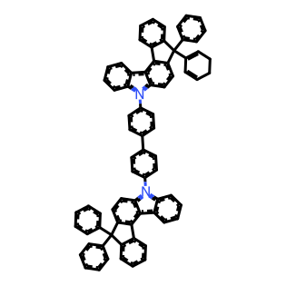 C1=CC(C2(c3ccccc3)c3ccccc3-c3c2ccc2c3c3ccccc3n2-c2ccc(-c3ccc(-n4c5ccccc5c5c6c(ccc54)C(c4ccccc4)(c4ccccc4)c4ccccc4-6)cc3)cc2)=CCC1